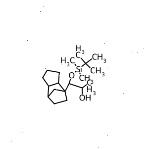 CC(O)C(O[Si](C)(C)C(C)(C)C)C12CCC(C1)C1CCCC12